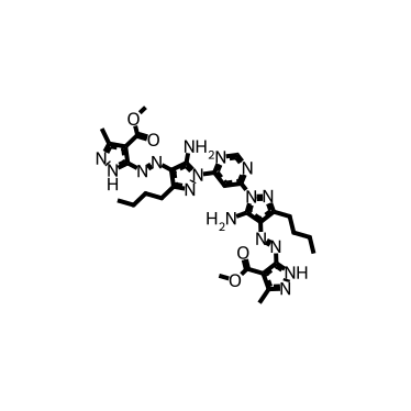 CCCCc1nn(-c2cc(-n3nc(CCCC)c(/N=N/c4[nH]nc(C)c4C(=O)OC)c3N)ncn2)c(N)c1/N=N/c1[nH]nc(C)c1C(=O)OC